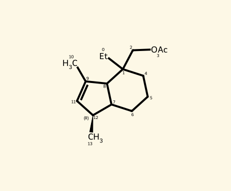 CCC1(COC(C)=O)CCCC2C1C(C)=C[C@@H]2C